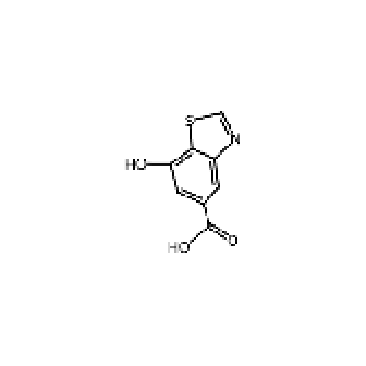 O=C(O)c1cc(O)c2scnc2c1